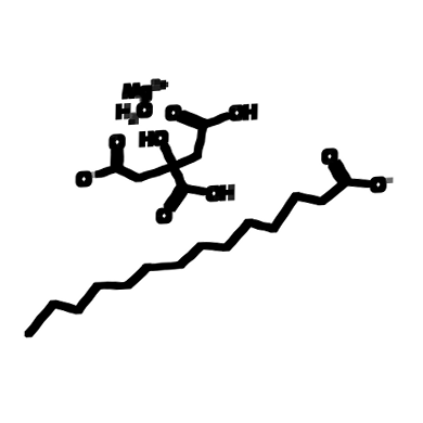 CCCCCCCCCCCCCC(=O)[O-].O.O=C([O-])CC(O)(CC(=O)O)C(=O)O.[Mg+2]